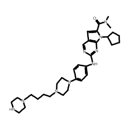 CN(C)C(=O)c1cc2cnc(Nc3ccc(N4CCN(CCCCN5CCNCC5)CC4)cc3)nc2n1C1CCCC1